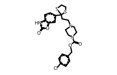 O=C(OCc1ccc(Cl)cc1)N1CCN(CCC2(c3ccc4[nH]c(=O)oc4c3)SCCS2)CC1